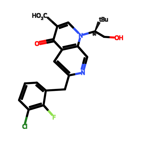 CC(C)(C)[C@@H](CO)n1cc(C(=O)O)c(=O)c2cc(Cc3cccc(Cl)c3F)ncc21